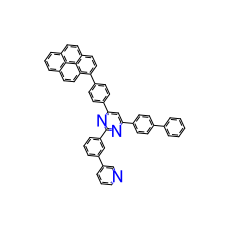 c1ccc(-c2ccc(-c3cc(-c4ccc(-c5ccc6ccc7cccc8ccc5c6c78)cc4)nc(-c4cccc(-c5cccnc5)c4)n3)cc2)cc1